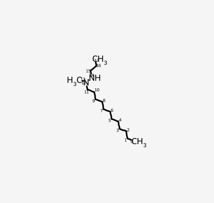 CCCCCCCCCCCCN(C)NCCC